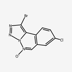 [O-][n+]1cc2cc(Cl)ccc2c2c(Br)nnn21